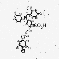 Cc1cccc(N(Cc2ccc(Cl)cc2Cl)c2cc(C(=O)O)n(CCCOc3cc(C)c(Cl)c(C)c3)c2)c1